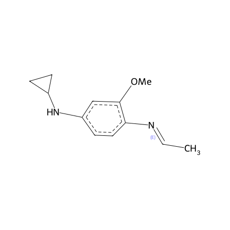 C/C=N/c1ccc(NC2CC2)cc1OC